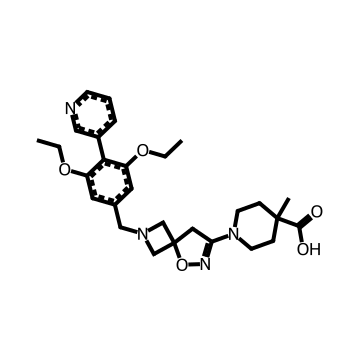 CCOc1cc(CN2CC3(CC(N4CCC(C)(C(=O)O)CC4)=NO3)C2)cc(OCC)c1-c1cccnc1